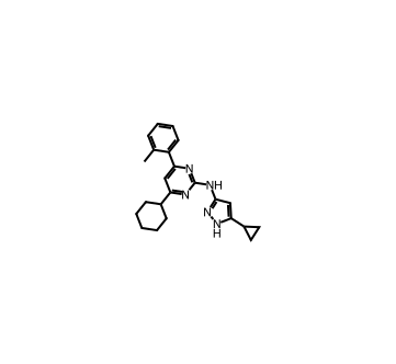 Cc1ccccc1-c1cc(C2CCCCC2)nc(Nc2cc(C3CC3)[nH]n2)n1